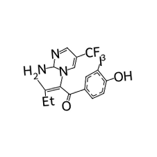 CC/C(C)=C(\C(=O)c1ccc(O)c(I)c1)N1C=C(C(F)(F)F)C=NC1N